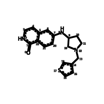 O=c1[nH]ccc2cc(NC3CCN(Cc4ccsc4)C3)ccc12